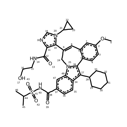 COc1ccc2c(c1)C=C(c1c(C(=O)NCCO)ncn1C1CC1)Cn1c-2c(C2CCCCC2)c2ccc(C(=O)NS(=O)(=O)C(C)C)cc21